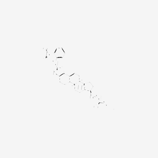 C[C@]12CCc3nc(Nc4ccccc4[N+](=O)[O-])sc3C1=CC[C@@H]1[C@@H]2CC[C@]2(C)/C(=N/NC(N)=O)CC[C@@H]12